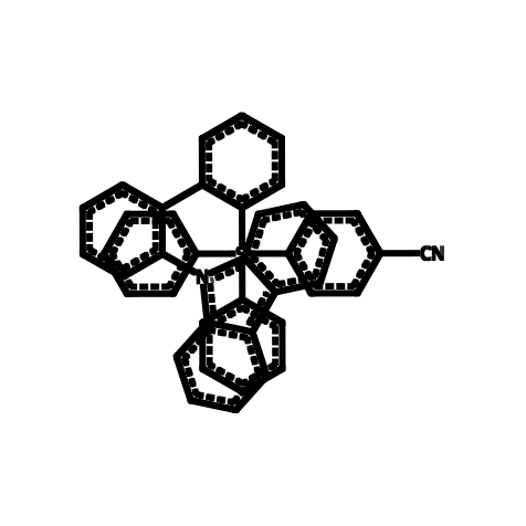 N#Cc1ccc([Si](c2ccccc2)(c2ccccc2)c2ccccc2-c2ccccc2-n2c3ccccc3c3ccccc32)cc1